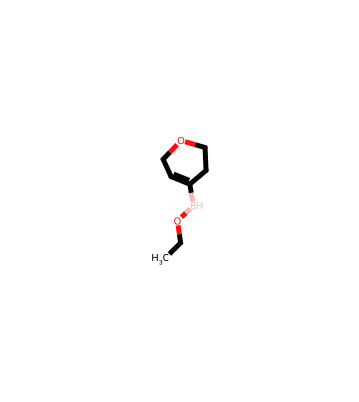 CCOBC1=CCOCC1